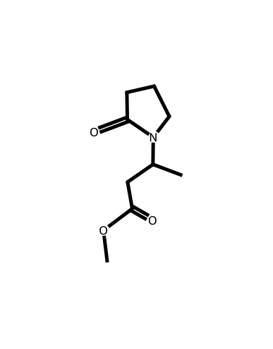 COC(=O)CC(C)N1CCCC1=O